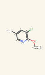 CCOC(=O)Oc1ncc(C(F)(F)F)cc1Cl